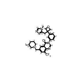 C[C@H]1CCCN(Cc2cc(C(F)(F)F)c3ncn(-c4cccc(C5(Cc6nncn6C)COC5)c4)c(=O)c3c2)C1